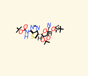 CC(C)(C)OC(=O)Nc1ncnc2c([C@@H]3O[C@](C#N)(CO[Si](C)(C)C(C)(C)C)[C@H]4OC(C)(C)O[C@@H]34)csc12